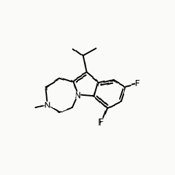 CC(C)c1c2n(c3c(F)cc(F)cc13)CCN(C)CC2